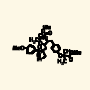 COC(=O)C(C)(C)Oc1ccc(C[C@H]2[C@@H](CN(CC(C)C)S(=O)(=O)c3ccc(OC)cc3)OC(C)(C)N2C(=O)OC(C)(C)C)cc1